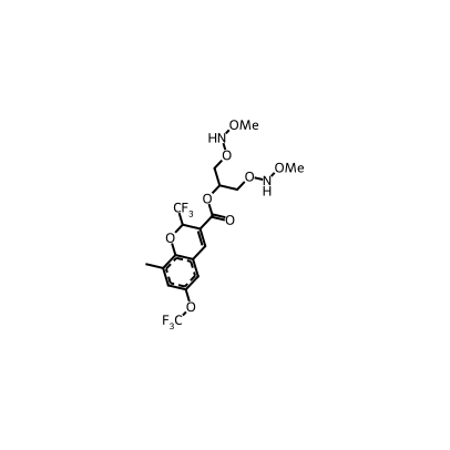 CONOCC(CONOC)OC(=O)C1=Cc2cc(OC(F)(F)F)cc(C)c2OC1C(F)(F)F